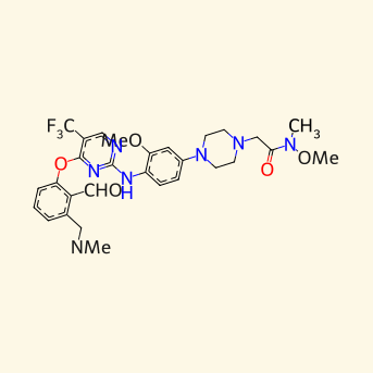 CNCc1cccc(Oc2nc(Nc3ccc(N4CCN(CC(=O)N(C)OC)CC4)cc3OC)ncc2C(F)(F)F)c1C=O